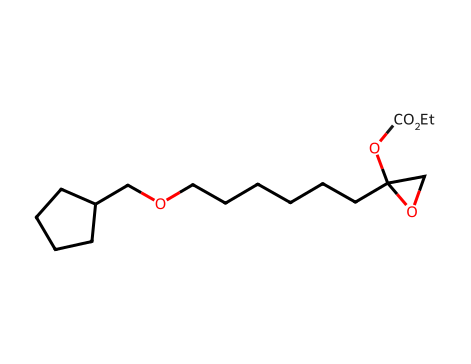 CCOC(=O)OC1(CCCCCCOCC2CCCC2)CO1